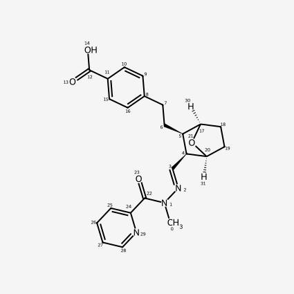 CN(N=C[C@H]1[C@@H](CCc2ccc(C(=O)O)cc2)[C@H]2CC[C@@H]1O2)C(=O)c1ccccn1